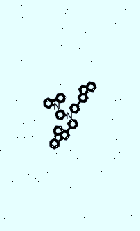 c1cc(-c2ccc3c4c(cccc24)-c2ccccc2-3)cc(N(c2ccc(-c3ccc4c(ccc5ccccc54)c3)cc2)c2cccc(-n3c4ccccc4c4ccccc43)c2)c1